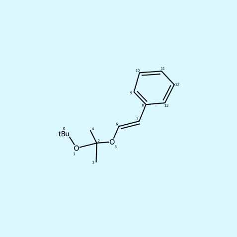 CC(C)(C)OC(C)(C)OC=Cc1ccccc1